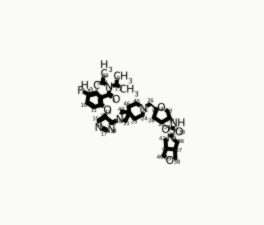 CC(C)N(C(=O)c1cc(F)ccc1Oc1cncnc1N1CC2(CCN(C[C@@H]3CC[C@@H](NS(=O)(=O)N4CC5COCC5C4)CO3)CC2)C1)C(C)C